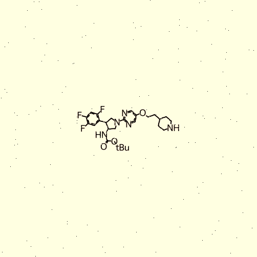 CC(C)(C)OC(=O)NC1CN(c2ncc(OCCC3CCNCC3)cn2)CC1c1cc(F)c(F)cc1F